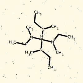 CCN(C)[PH](N(C)CC)(N(C)CC)N(C)CC